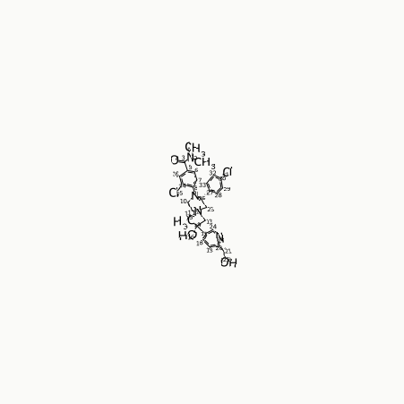 CN(C)C(=O)c1ccc(N2CCN(C[C@@](C)(O)c3ccc(CO)nc3)C[C@H]2c2ccc(Cl)cc2)c(Cl)c1